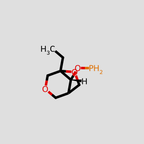 CCC12COCC(CO1)[C@H]2OP